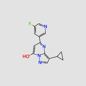 Oc1cc(-c2cncc(F)c2)nc2c(C3CC3)cnn12